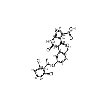 CC(Oc1ccc(F)c(-n2c(=O)[nH]c3scc(C(=O)O)c3c2=O)c1)c1c(Cl)cccc1Cl